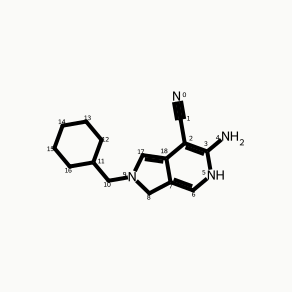 N#CC1=C(N)NC=C2CN(CC3CCCCC3)C=C21